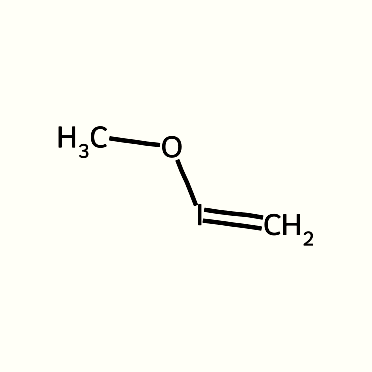 C=IOC